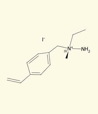 C=Cc1ccc(C[N@@+](C)(N)CC)cc1.[I-]